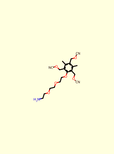 Cc1c(COC#N)c(C)c(COC#N)c(OCCOCCOCCN)c1COC#N